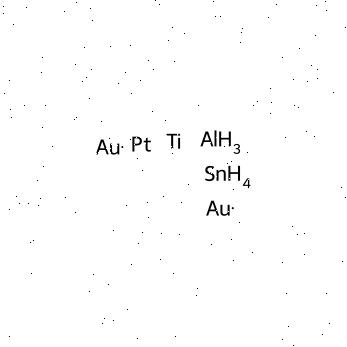 [AlH3].[Au].[Au].[Pt].[SnH4].[Ti]